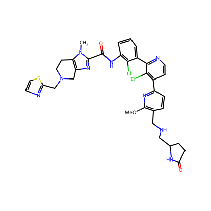 COc1nc(-c2ccnc(-c3cccc(NC(=O)c4nc5c(n4C)CCN(Cc4nccs4)C5)c3Cl)c2Cl)ccc1CNCC1CCC(=O)N1